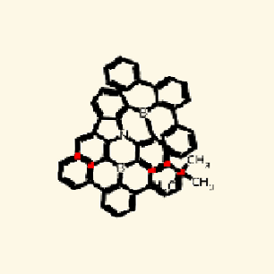 CC(C)(C)c1cc2c3c(c1)B(c1c(-c4ccccc4)cccc1-c1ccccc1)c1cccc4c5cccc(c5n-3c14)B2c1c(-c2ccccc2)cccc1-c1ccccc1